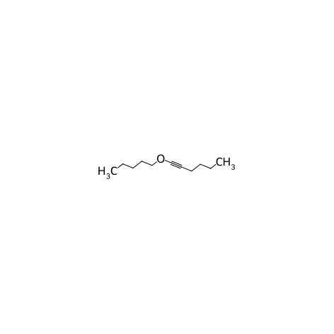 CCCCC#COCCCCC